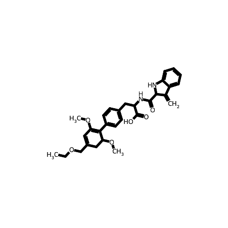 C=C1c2ccccc2NC1C(=O)NC(Cc1ccc(C2=C(OC)C=C(COCC)CC2OC)cc1)C(=O)O